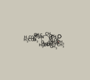 CO[C@]1(C)C[C@@H](C)CN(C)[C@H]([C@H]2C[C@@H](N(C)C(=O)OC(C)(C)C)C2)COC(O)C(C)(C)C(=O)[C@H](C)[C@H]1O[C@@H]1O[C@H](C)C[C@H](N(C)C)[C@H]1OC(=O)c1ccccc1